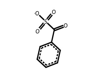 [O]S(=O)(=O)C(=O)c1ccccc1